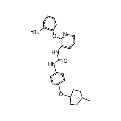 CC1CCC(Oc2ccc(NC(=O)Nc3cccnc3Oc3ccccc3C(C)(C)C)cc2)CC1